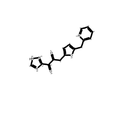 O=C(Cc1ccc(Cc2ccccn2)o1)C(=O)c1nc[nH]n1